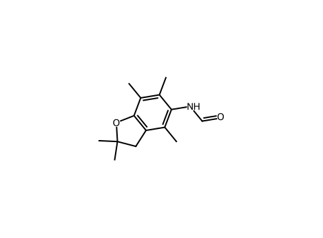 Cc1c(C)c2c(c(C)c1NC=O)CC(C)(C)O2